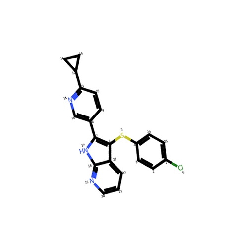 Clc1ccc(Sc2c(-c3ccc(C4CC4)nc3)[nH]c3ncccc23)cc1